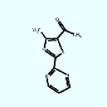 Cc1nc(-c2ncccn2)sc1C(N)=O